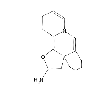 NC1CC23CCCCC2=CN2C=CCCC2=C3O1